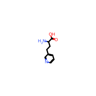 NC(CCc1cccnc1)C(=O)O